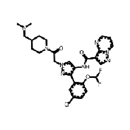 CN(C)CC1CCN(C(=O)Cn2cc(NC(=O)c3cnn4cccnc34)c(-c3cc(Cl)ccc3OC(F)F)n2)CC1